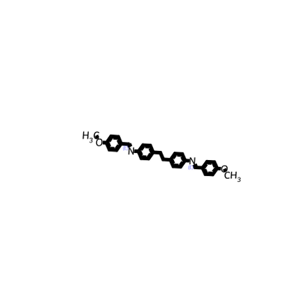 COc1ccc(/C=N/c2ccc(CCc3ccc(/N=C/c4ccc(OC)cc4)cc3)cc2)cc1